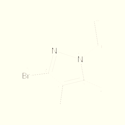 CCn1nc(Br)c(C)c1C